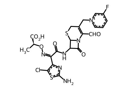 C[C@H](O/N=C(\C(=O)NC1C(=O)N2C(C=O)=C(C[n+]3cccc(F)c3)CSC12)c1nc(N)sc1Cl)C(=O)O